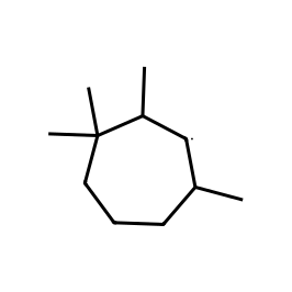 CC1[CH]C(C)C(C)(C)CCC1